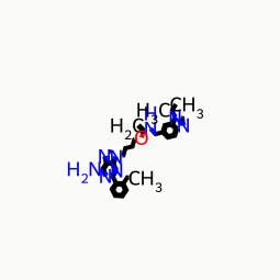 C=C(NCc1ccc2ncn(C(C)C)c2c1)OCCCCn1cnc2c(N)nc(-c3ccccc3CC)nc21